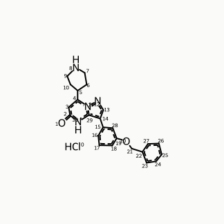 Cl.O=c1cc(C2CCNCC2)n2ncc(-c3cccc(OCc4ccccc4)c3)c2[nH]1